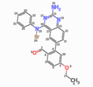 CCOc1ccc(C=O)c(-c2ccc3nc(N)nc(N(Br)c4ccccc4)c3c2)c1